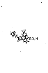 Cc1ncc(-c2ccc(OC[C@H]3CCCO3)cn2)c(N2CCC(C)(C)CC2)c1CC(=O)O